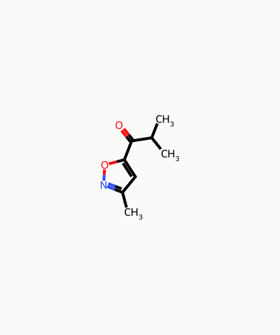 Cc1cc(C(=O)C(C)C)on1